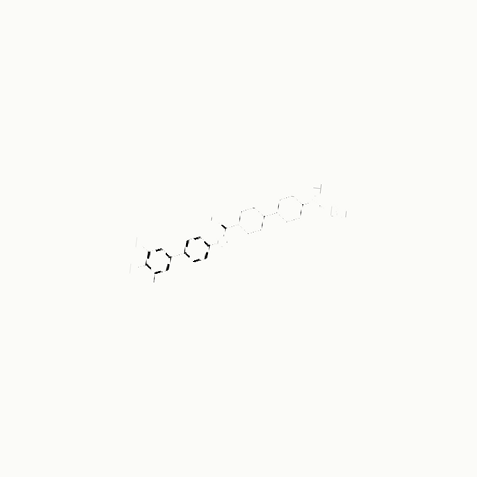 CCCC[SiH2]C1CCC(C2CCC(C(=O)Oc3ccc(-c4cc(F)c(F)c(F)c4)cc3)CC2)CC1